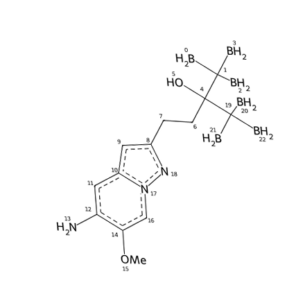 BC(B)(B)C(O)(CCc1cc2cc(N)c(OC)cn2n1)C(B)(B)B